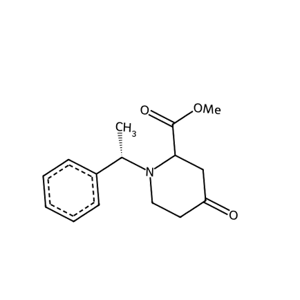 COC(=O)C1CC(=O)CCN1[C@@H](C)c1ccccc1